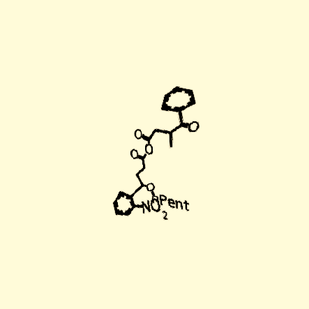 CCCCCOC(CCC(=O)OC(=O)CC(C)C(=O)c1ccccc1)c1ccccc1[N+](=O)[O-]